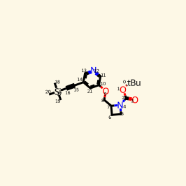 CC(C)(C)OC(=O)N1CCC1COc1cncc(C#C[Si](C)(C)C)c1